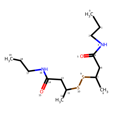 CCCNC(=O)CC(C)SSC(C)CC(=O)NCCC